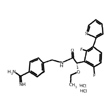 CCO[C@H](C(=O)NCc1ccc(C(=N)N)cc1)c1c(F)ccc(-c2ccccn2)c1F.Cl.Cl